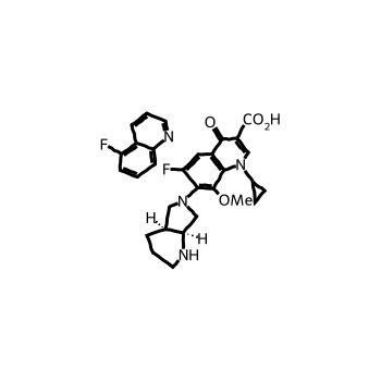 COc1c(N2C[C@@H]3CCCN[C@@H]3C2)c(F)cc2c(=O)c(C(=O)O)cn(C3CC3)c12.Fc1cccc2ncccc12